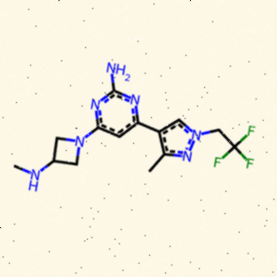 CNC1CN(c2cc(-c3cn(CC(F)(F)F)nc3C)nc(N)n2)C1